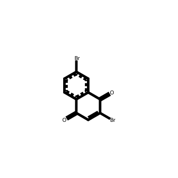 O=C1C=C(Br)C(=O)c2cc(Br)ccc21